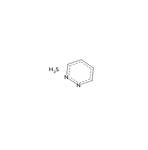 S.c1ccnnc1